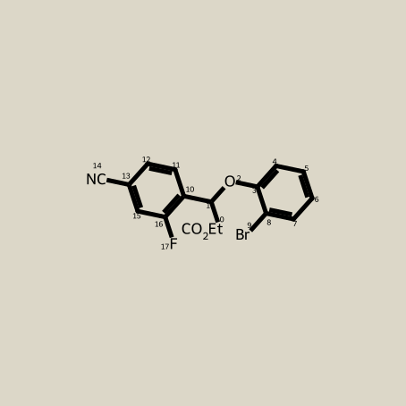 CCOC(=O)C(Oc1ccccc1Br)c1ccc(C#N)cc1F